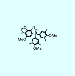 COc1cc(P(=O)(c2cc(C)c(OC)c(C)c2)c2cc(C)c(OC)c(C)c2)c(Cl)c2c1OCO2